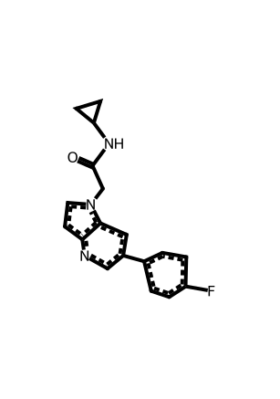 O=C(Cn1ccc2ncc(-c3ccc(F)cc3)cc21)NC1CC1